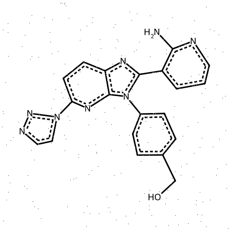 Nc1ncccc1-c1nc2ccc(-n3ccnn3)nc2n1-c1ccc(CO)cc1